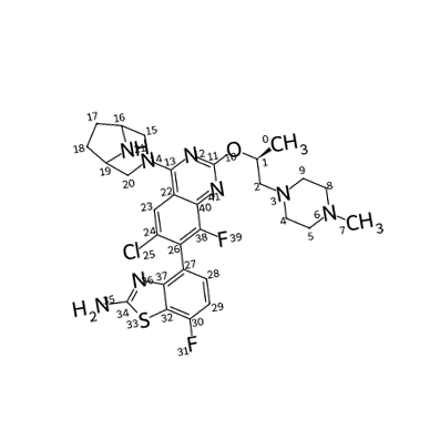 C[C@@H](CN1CCN(C)CC1)Oc1nc(N2CC3CCC(C2)N3)c2cc(Cl)c(-c3ccc(F)c4sc(N)nc34)c(F)c2n1